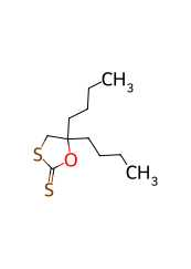 CCCCC1(CCCC)CSC(=S)O1